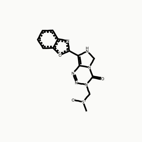 C[S+]([O-])CN1N=NC2=C(c3nc4ccccc4o3)NCN2C1=O